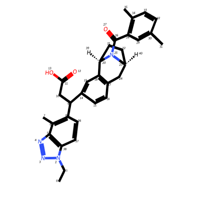 CCn1nnc2c(C)c(C(CC(=O)O)c3ccc4c(c3)[C@H]3CC[C@@H](C4)N3C(=O)c3cc(C)ccc3C)ccc21